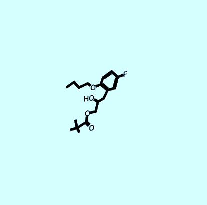 CCCCOc1ccc(F)cc1CC(O)COC(=O)C(C)(C)C